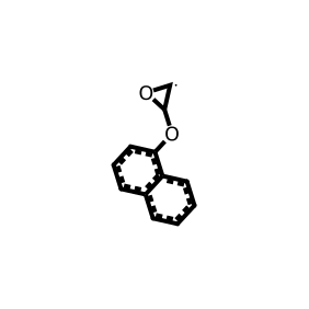 [CH]1OC1Oc1cccc2ccccc12